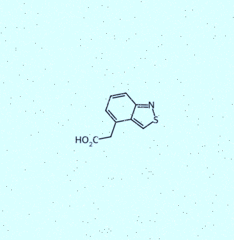 O=C(O)Cc1cccc2nscc12